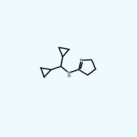 C1CN=C(NC(C2CC2)C2CC2)C1